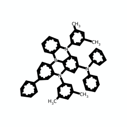 Cc1cc(C)cc(N2c3ccccc3B3c4ccc(-c5ccccc5)cc4N(c4cc(C)cc(C)c4)c4cc(N(c5ccccc5)c5ccccc5)cc2c43)c1